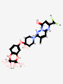 BC1(Oc2ccc3c(c2)OC(B)(B)C(B)(B)O3)CCN(c2nn3c(=O)cc(C(F)F)nc3cc2C)CC1